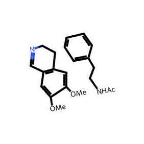 CC(=O)NCCc1ccccc1.COc1cc2c(cc1OC)CCN=C2